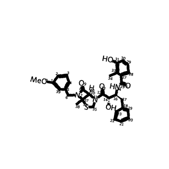 COc1cccc(CN2C(=O)[C@H]3N(C(=O)[C@@H](O)[C@H](Cc4ccccc4)NC(=O)c4cccc(O)c4C)CSC32C)c1